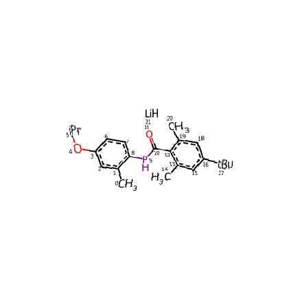 Cc1cc(OC(C)C)ccc1PC(=O)c1c(C)cc(C(C)(C)C)cc1C.[LiH]